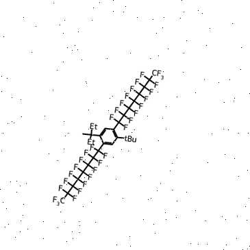 CCC(C)(CC)c1cc(C(F)(F)C(F)(F)C(F)(F)C(F)(F)C(F)(F)C(F)(F)C(F)(F)C(F)(F)F)c(C(C)(C)C)cc1C(F)(F)C(F)(F)C(F)(F)C(F)(F)C(F)(F)C(F)(F)C(F)(F)C(F)(F)F